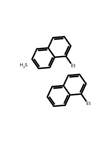 CCc1cccc2ccccc12.CCc1cccc2ccccc12.S